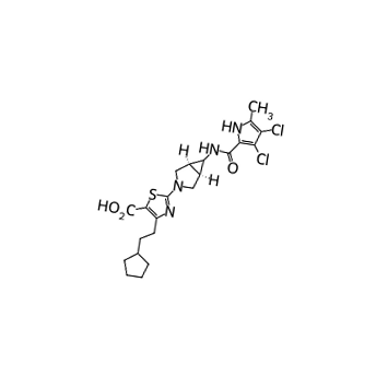 Cc1[nH]c(C(=O)NC2[C@H]3CN(c4nc(CCC5CCCC5)c(C(=O)O)s4)C[C@@H]23)c(Cl)c1Cl